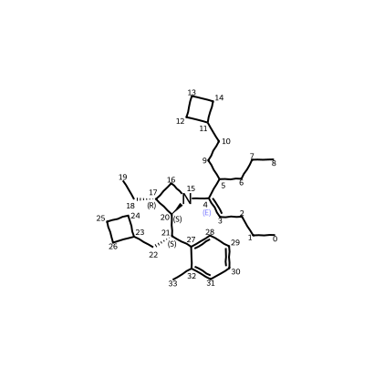 CCC/C=C(\C(CCC)CCC1CCC1)N1C[C@@H](CC)[C@@H]1[C@@H](CC1CCC1)c1ccccc1C